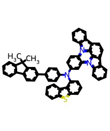 CC1(C)c2ccccc2-c2ccc(-c3ccc(N(c4ccc5c(c4)n4c6ccccc6c6ccc7c8ccccc8n5c7c64)c4cccc5sc6ccccc6c45)cc3)cc21